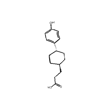 O=C(O)CC[C@H]1CC[C@H](c2ccc(O)cc2)CC1